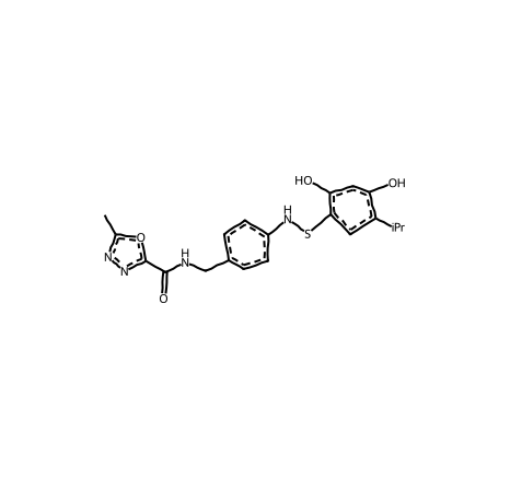 Cc1nnc(C(=O)NCc2ccc(NSc3cc(C(C)C)c(O)cc3O)cc2)o1